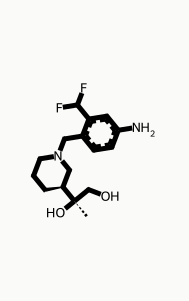 C[C@@](O)(CO)[C@H]1CCCN(Cc2ccc(N)cc2C(F)F)C1